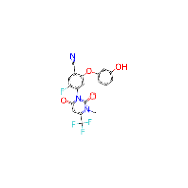 Cn1c(C(F)(F)F)cc(=O)n(-c2cc(Oc3cccc(O)c3)c(C#N)cc2F)c1=O